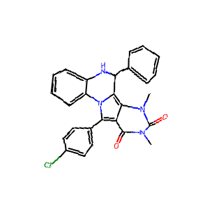 Cn1c(=O)c2c(-c3ccc(Cl)cc3)n3c(c2n(C)c1=O)C(c1ccccc1)Nc1ccccc1-3